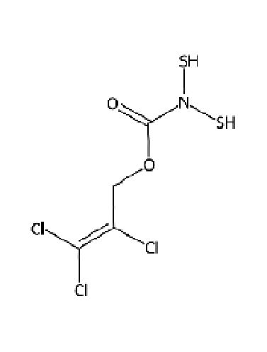 O=C(OCC(Cl)=C(Cl)Cl)N(S)S